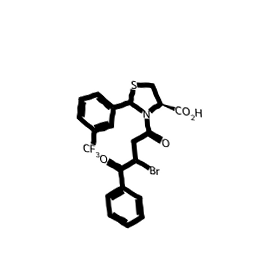 O=C(c1ccccc1)C(Br)CC(=O)N1C(c2cccc(C(F)(F)F)c2)SC[C@H]1C(=O)O